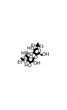 CCC(C)(CC)OC1C(CO)OC(OC2C(O)C(O)[C@H](C(C)(CC)CC)O[C@H]2CO)C(O)C1O